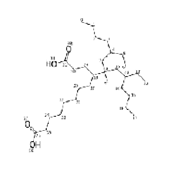 CCCCC(CC)CC(C)(CC(CC)CCCC)C(CCCCCCCC(=O)O)CCC(=O)O